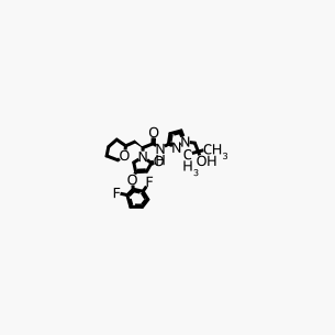 CC(C)(O)Cn1ccc(NC(=O)[C@H](CC2CCCCO2)N2CC(Oc3c(F)cccc3F)=CC2=O)n1